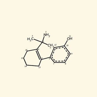 CC(C)(N)C1=C(c2cccc(O)c2)CCCC1